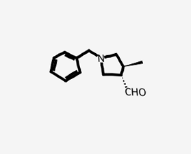 C[C@@H]1CN(Cc2ccccc2)C[C@H]1C=O